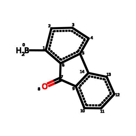 Bc1cccc2c1C(=O)c1ccccc1-2